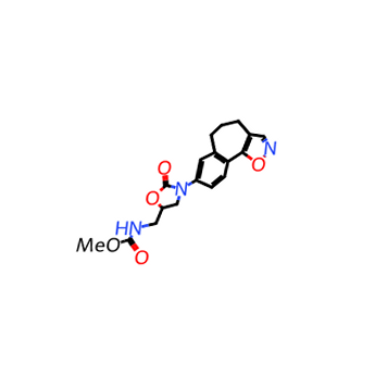 COC(=O)NCC1CN(c2ccc3c(c2)CCCc2cnoc2-3)C(=O)O1